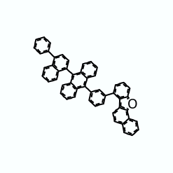 c1ccc(-c2ccc(-c3c4ccccc4c(-c4cccc(-c5cccc6oc7c8ccccc8ccc7c56)c4)c4ccccc34)c3ccccc23)cc1